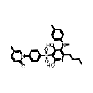 CCCCc1nc(O)c(S(=O)(=O)c2ccc(-n3cc(C)ccc3=O)cc2)c(O)c1N(C)c1ccc(C)cc1